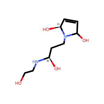 OCCN[C@H](O)CCN1C(O)C=C[C@@H]1O